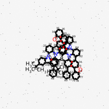 CC(C)(C)c1ccc2c(c1)c1cc(C(C)(C)C)ccc1n2-c1cccc(-c2cccc3c2oc2ccccc23)c1N1c2ccc(-c3ccccc3)cc2B2c3cc(-c4ccccc4)ccc3N(c3c(-c4ccc5c(c4)oc4ccccc45)cccc3-n3c4ccccc4c4ccccc43)c3cc(-c4ccccc4)cc1c32